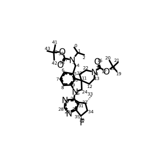 CC(C)N(Cc1cccc2c1C1(CCN(C(=O)OC(C)(C)C)CC1)CN2c1ncnc2c1[C@H](C)C[C@@H]2F)C(=O)OC(C)(C)C